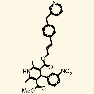 COC(=O)C1=C(C)NC(C)=C(C(=O)OCC=Cc2ccc(Cc3cccnc3)cc2)C1c1cccc([N+](=O)[O-])c1